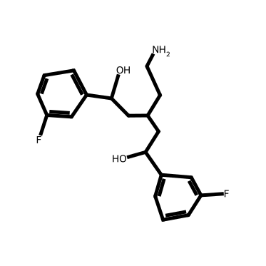 NCCC(CC(O)c1cccc(F)c1)CC(O)c1cccc(F)c1